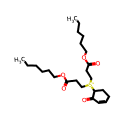 CCCCCCOC(=O)CC[S+](CCC(=O)OCCCCCC)C1CCC=CC1=O